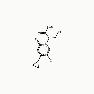 COC(=O)C(CC(C)C)n1cc(Cl)c(C2CC2)cc1=O